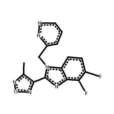 Cc1nonc1-c1nc2c(F)c(F)ccc2n1Cc1cccnn1